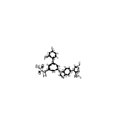 CCS(=O)(=O)Nc1cc(-c2ccc(F)cc2F)cc(-n2cnc3cc(-c4cn(C)nc4N)ccc32)c1